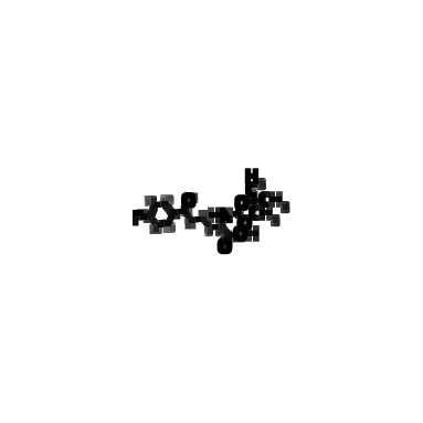 CC(C)(C)OC(=O)NC(CCCC(=O)c1ccc(F)cc1)C(=O)O